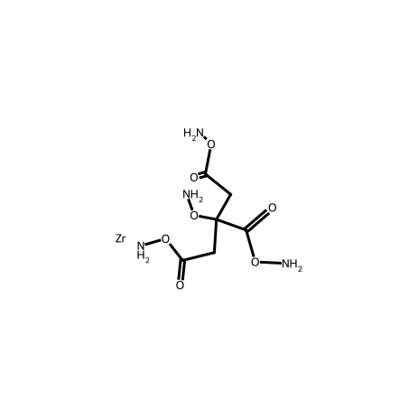 NOC(=O)CC(CC(=O)ON)(ON)C(=O)ON.[Zr]